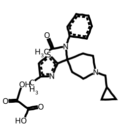 CC(=O)N(c1ccccc1)C1(c2nc(C)cs2)CCN(CC2CC2)CC1.O=C(O)C(=O)O